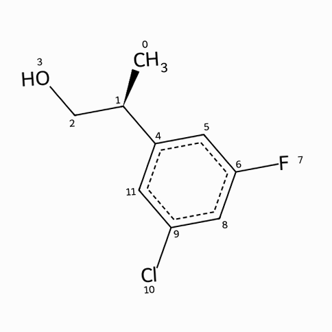 C[C@H](CO)c1cc(F)cc(Cl)c1